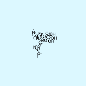 CCN1CCC2(CCCN(c3c(/C=C(\F)c4cncc(N5CC(F)(F)C5)n4)ccc(Oc4c(O)c(O)c(O)c(O)c4O)c3C(F)(F)F)C2)CC1